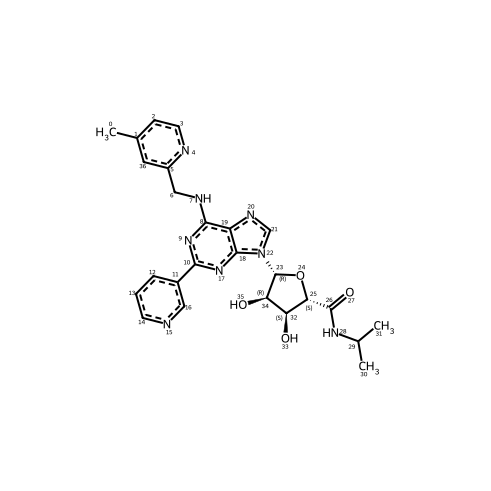 Cc1ccnc(CNc2nc(-c3cccnc3)nc3c2ncn3[C@@H]2O[C@H](C(=O)NC(C)C)[C@@H](O)[C@H]2O)c1